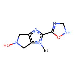 CCn1c(C2=NCNO2)nc2c1CN(O)C2